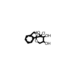 OC1COC2(OCc3ccccc32)C(O)(Cl)C1O